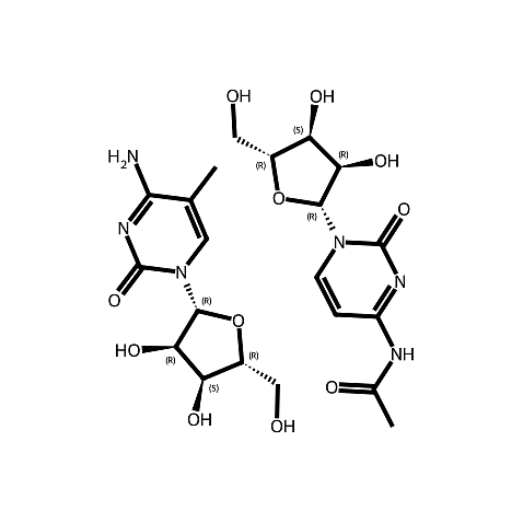 CC(=O)Nc1ccn([C@@H]2O[C@H](CO)[C@@H](O)[C@H]2O)c(=O)n1.Cc1cn([C@@H]2O[C@H](CO)[C@@H](O)[C@H]2O)c(=O)nc1N